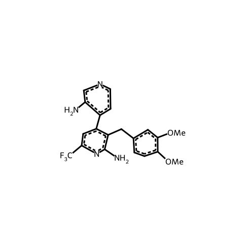 COc1ccc(Cc2c(-c3ccncc3N)cc(C(F)(F)F)nc2N)cc1OC